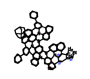 C=C/C(=C(\C(=C/C(C)/C=C\CC)c1ccccc1)N1c2ccccc2B2c3cc4c(cc3N(c3ccccc3)c3cc(C(C)(C)C)cc1c32)N(c1c(-c2ccccc2)cc(-c2ccccc2)cc1-c1ccccc1)c1cc(N2C3CC5CC(C3)CC2C5)cc2c1B4c1ccccc1N2c1c(-c2ccccc2)cc(-c2ccccc2)cc1-c1ccccc1)c1ccccc1